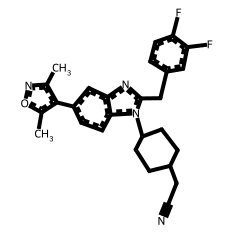 Cc1noc(C)c1-c1ccc2c(c1)nc(Cc1ccc(F)c(F)c1)n2C1CCC(CC#N)CC1